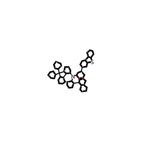 c1ccc(C2(c3ccccc3)c3ccccc3-c3c(N(c4cccc(-c5ccc6c(c5)sc5ccccc56)c4)c4ccccc4-c4cccc5ccccc45)cccc32)cc1